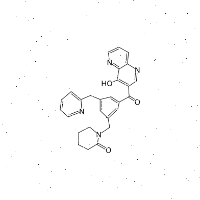 O=C(c1cc(Cc2ccccn2)cc(CN2CCCCC2=O)c1)c1cnc2cccnc2c1O